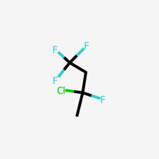 CC(F)(Cl)CC(F)(F)F